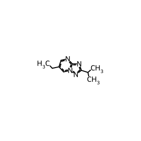 CCc1cnc2nc(C(C)C)nn2c1